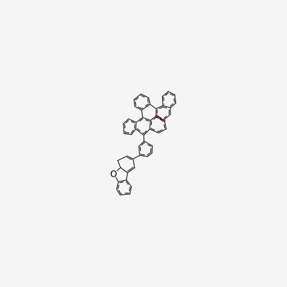 C1=C(c2cccc(-c3c4ccccc4c(-c4ccccc4-c4cccc5ccccc45)c4ccccc34)c2)C=C2c3ccccc3OC2C1